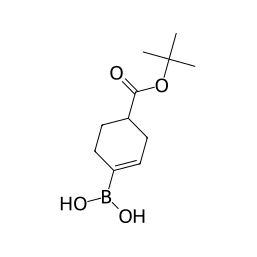 CC(C)(C)OC(=O)C1CC=C(B(O)O)CC1